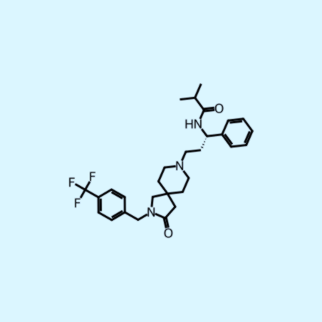 CC(C)C(=O)N[C@@H](CCN1CCC2(CC1)CC(=O)N(Cc1ccc(C(F)(F)F)cc1)C2)c1ccccc1